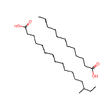 CCC(C)CCCCCCCCCCCCC(=O)O.CCCCCCCCCCCC(=O)O